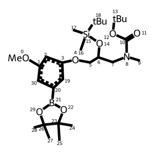 COc1cc(OCC(CN(C)C(=O)OC(C)(C)C)O[Si](C)(C)C(C)(C)C)cc(B2OC(C)(C)C(C)(C)O2)c1